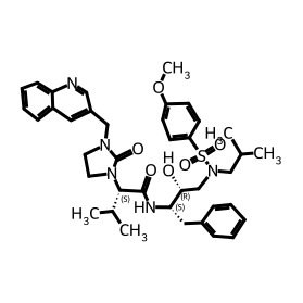 COc1ccc(S(=O)(=O)N(CC(C)C)C[C@@H](O)[C@H](Cc2ccccc2)NC(=O)[C@H](C(C)C)N2CCN(Cc3cnc4ccccc4c3)C2=O)cc1